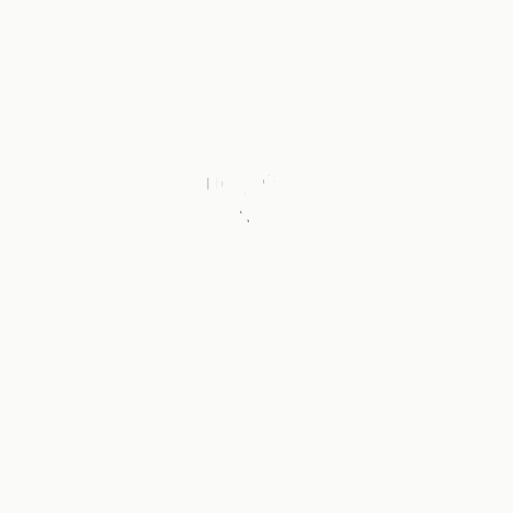 CCCCCCC[N]C(=O)O